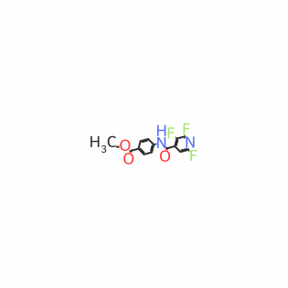 CCOC(=O)c1ccc(NC(=O)c2cc(F)nc(F)c2F)cc1